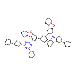 c1ccc(-c2ccc(-c3nc(-c4ccccc4)nc(-c4cc(-c5cccc(-c6cc7c(cc6-n6c8ccccc8c8cc(-c9ccccc9)ccc86)oc6ccccc67)c5)cc5oc6ccccc6c45)n3)cc2)cc1